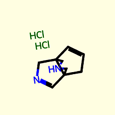 C1=CC23CN=CC2(C1)CNC3.Cl.Cl